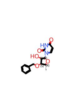 C[C@H]1O[C@@H](n2ccc(=O)[nH]c2=O)[C@H](O)[C@@H]1OCc1ccccc1